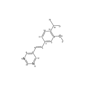 COc1cc(/C=C/c2cncnc2)ccc1C(C)C